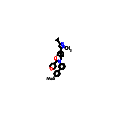 CSc1ccc(-c2cccc(N(CC34CCC(c5cc(C6CC6)nn5C)=C(C3)C4)C(=O)C3CCOCC3)c2)cc1